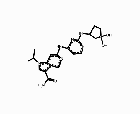 CC(C)n1cc(C(N)=O)c2cnc(Nc3ccnc(NC4CCS(O)(O)C4)n3)cc21